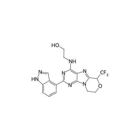 OCCNc1nc(-c2cccc3[nH]ncc23)nc2c1nc1n2CCOC1C(F)(F)F